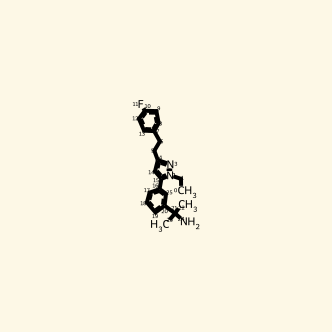 CCn1nc(CCc2ccc(F)cc2)cc1-c1cccc(C(C)(C)N)c1